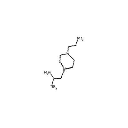 NCCN1CCN(CC(N)N)CC1